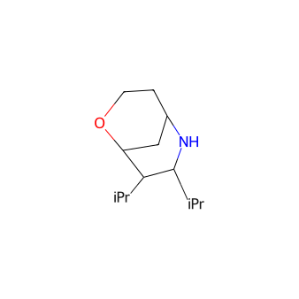 CC(C)C1NC2CCOC(C2)C1C(C)C